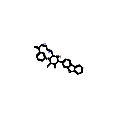 C=C(/C=C\C=C\C1NC(I)NC(c2ccc3c(c2)oc2ccccc23)N1)c1ccccc1